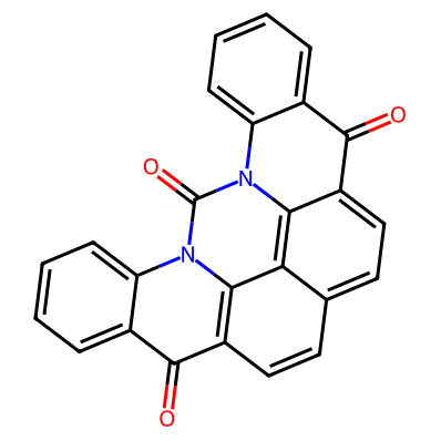 O=c1c2ccccc2n2c(=O)n3c4ccccc4c(=O)c4ccc5ccc1c2c5c43